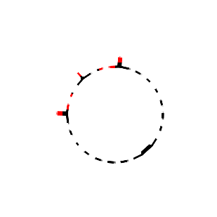 O=C1CCCCCCC/C=C\CCCCCCCC(=O)OCC(O)CO1